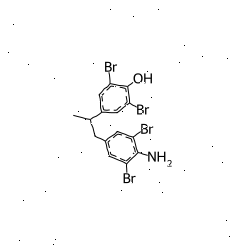 CC(Cc1cc(Br)c(N)c(Br)c1)c1cc(Br)c(O)c(Br)c1